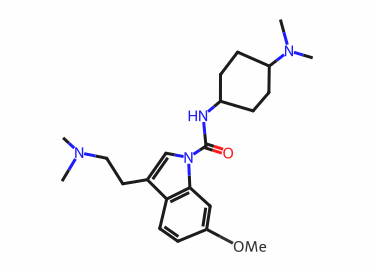 COc1ccc2c(CCN(C)C)cn(C(=O)NC3CCC(N(C)C)CC3)c2c1